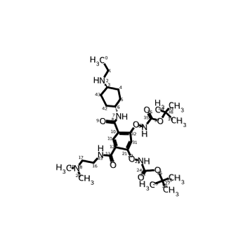 CCN[C@H]1CC[C@H](NC(=O)c2cc(C(=O)NCCN(C)C)c(ONC(=O)OC(C)(C)C)cc2ONC(=O)OC(C)(C)C)CC1